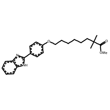 COC(=O)C(C)(C)CCCCCCOc1ccc(-c2nc3ccccc3[nH]2)cc1